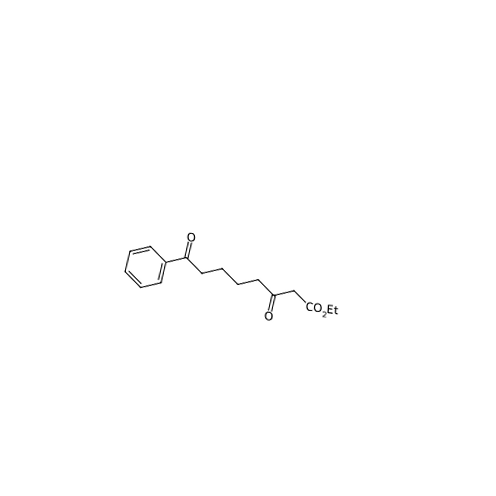 CCOC(=O)CC(=O)CCCCC(=O)c1ccccc1